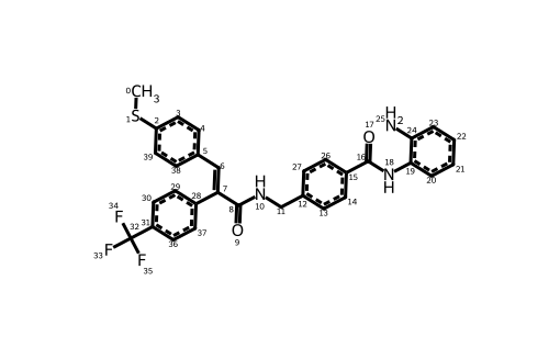 CSc1ccc(/C=C(/C(=O)NCc2ccc(C(=O)Nc3ccccc3N)cc2)c2ccc(C(F)(F)F)cc2)cc1